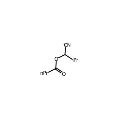 CCCC(=O)OC(C#N)C(C)C